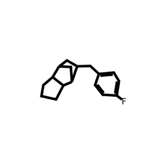 Fc1ccc(CC2CC3CC2C2CCCC32)cc1